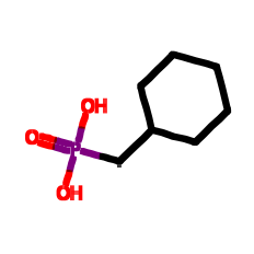 O=P(O)(O)[CH]C1CCCCC1